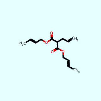 C=CCC(C(=O)OC/C=C/C)C(=O)OC/C=C/C